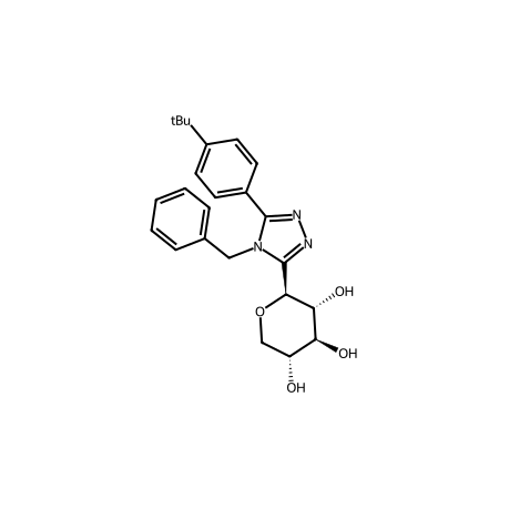 CC(C)(C)c1ccc(-c2nnc([C@@H]3OC[C@@H](O)[C@H](O)[C@H]3O)n2Cc2ccccc2)cc1